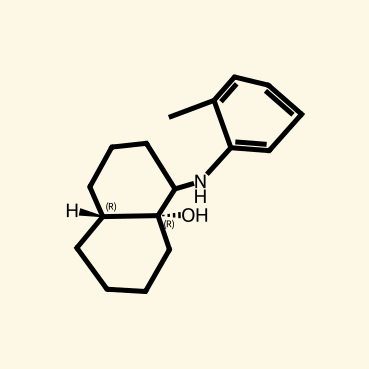 Cc1ccccc1NC1CCC[C@H]2CCCC[C@]12O